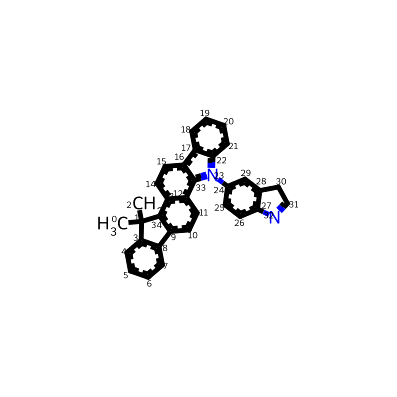 CC1(C)c2ccccc2-c2ccc3c(ccc4c5ccccc5n(-c5ccc6c(c5)CC=N6)c34)c21